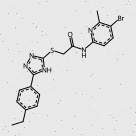 CCc1ccc(-c2nnc(SCC(=O)Nc3ccc(Br)c(C)n3)[nH]2)cc1